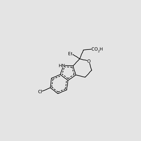 CCC1(CC(=O)O)OCCc2c1[nH]c1cc(Cl)ccc21